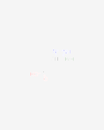 Br.CCCC(=O)O.c1c[nH]cn1